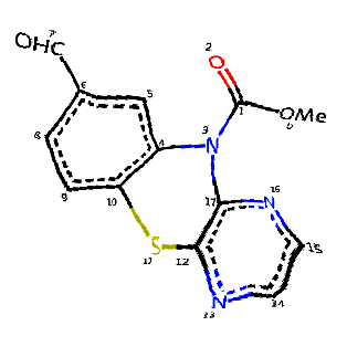 COC(=O)N1c2cc(C=O)ccc2Sc2nccnc21